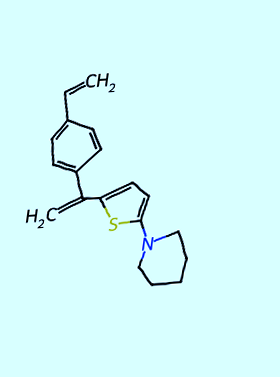 C=Cc1ccc(C(=C)c2ccc(N3CCCCC3)s2)cc1